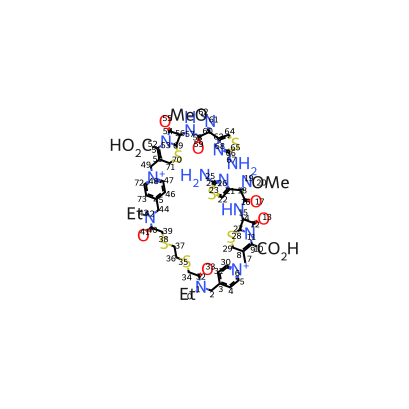 CCN(Cc1cc[n+](CC2=C(C(=O)O)N3C(=O)C(NC(=O)/C(=N\OC)c4csc(N)n4)C3SC2)cc1)C(=O)CSCCSCC(=O)N(CC)Cc1cc[n+](CC2=C(C(=O)O)N3C(=O)C(NC(=O)/C(=N\OC)c4csc(N)n4)C3SC2)cc1